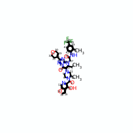 CCc1c(N2CCN(C(=O)c3ncc4occc4c3O)[C@H](C)C2)c(=O)n2nc(C3=CCOCC3)nc2n1CC(=O)Nc1ccc(C(F)(F)F)cc1C